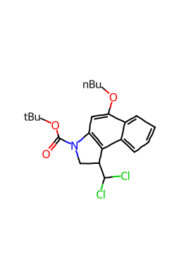 CCCCOc1cc2c(c3ccccc13)C(C(Cl)Cl)CN2C(=O)OC(C)(C)C